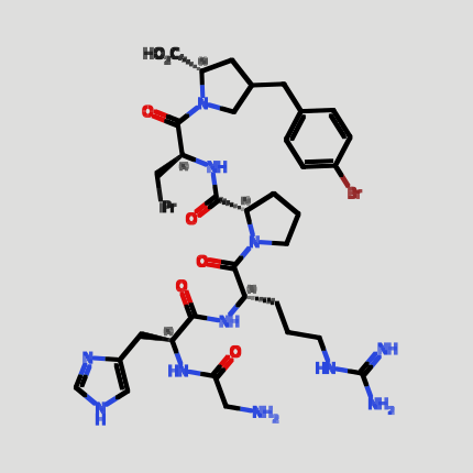 CC(C)C[C@H](NC(=O)[C@@H]1CCCN1C(=O)[C@H](CCCNC(=N)N)NC(=O)[C@H](Cc1c[nH]cn1)NC(=O)CN)C(=O)N1CC(Cc2ccc(Br)cc2)C[C@H]1C(=O)O